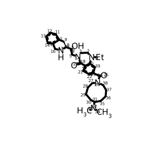 CCN1CCN(C[C@@H](O)[C@@H]2Cc3ccccc3CN2)C(=O)c2ccc(C(=O)N3CCCCC(N(C)C)CCCC3)cc21